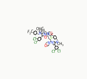 CN(Cc1ccc(C(F)(F)F)c(F)c1)[C@@H]1CN(C(CCCC(=O)C(CCCC=O)(N2CCOCC2)N2C[C@H](c3ccc(Cl)c(Cl)c3)[C@H](N(C)Cc3ccc(C(F)(F)F)cc3)C2)N2CCOCC2)C[C@@H]1c1ccc(Cl)c(Cl)c1